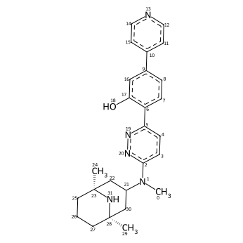 CN(c1ccc(-c2ccc(-c3ccncc3)cc2O)nn1)C1C[C@]2(C)CCC[C@](C)(C1)N2